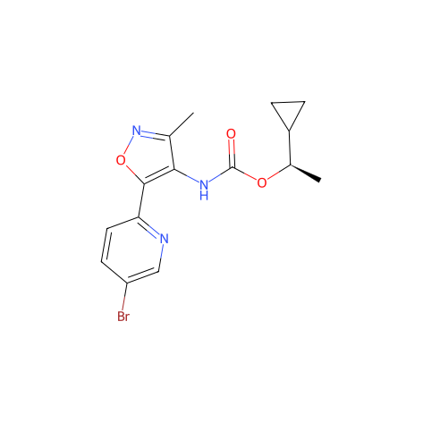 Cc1noc(-c2ccc(Br)cn2)c1NC(=O)O[C@H](C)C1CC1